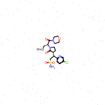 COC[C@@H](C(=O)N1CCOCC1)N1CC[C@@H](C(CS(N)(=O)=O)c2ccc(Cl)cn2)C1=O